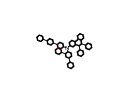 c1ccc(-c2ccc(-c3ccc(N(c4ccc5c(c4)c(-c4ccccc4)c(-c4ccccc4)c4ccccc45)c4ccc(-c5ccccc5)cc4-c4ccccc4)cc3)cc2)cc1